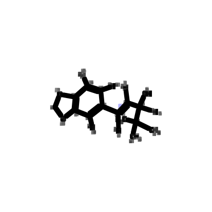 [2H]/C(=C(/[2H])C([2H])(O)C(C)(C)C)c1c([2H])c([2H])c2c(c1[2H])OCO2